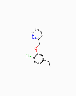 CCc1ccc(Cl)c(OCc2ccccn2)c1